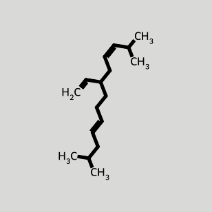 C=CC(C/C=C\C(C)C)CC/C=C/CC(C)C